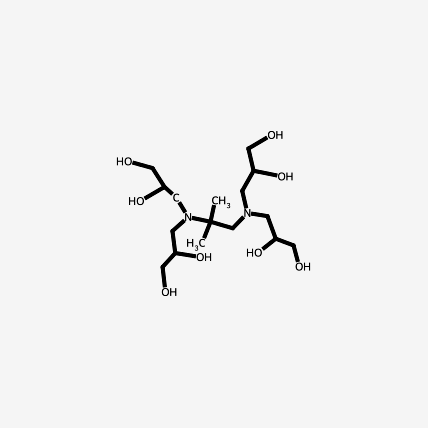 CC(C)(CN(CC(O)CO)CC(O)CO)N(CC(O)CO)CC(O)CO